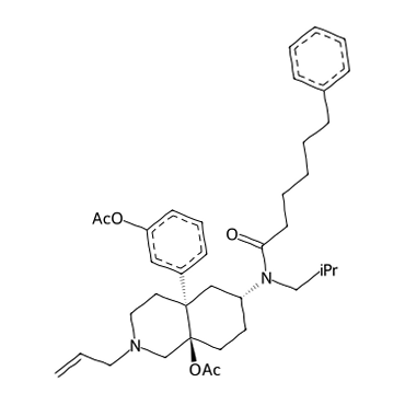 C=CCN1CC[C@@]2(c3cccc(OC(C)=O)c3)C[C@H](N(CC(C)C)C(=O)CCCCCc3ccccc3)CC[C@]2(OC(C)=O)C1